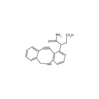 NC(=O)C(CC(=O)O)c1cccc2c1C#Cc1ccccc1CN2